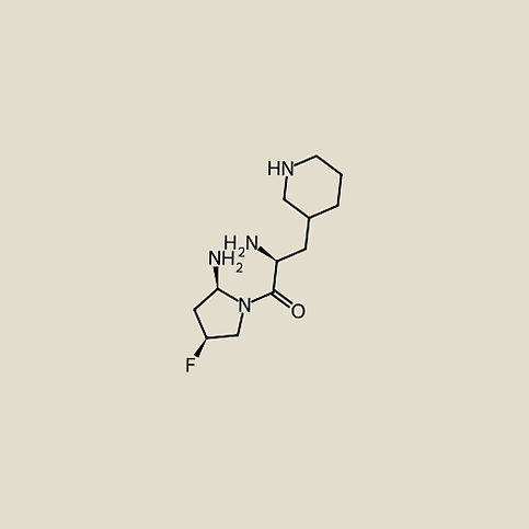 N[C@@H]1C[C@H](F)CN1C(=O)[C@@H](N)CC1CCCNC1